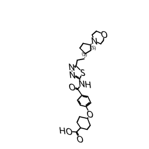 O=C(Nc1nnc(CC[C@@H]2CC[C@H](N3CCOCC3)C2)s1)c1ccc(OC2CCC(C(=O)O)CC2)cc1